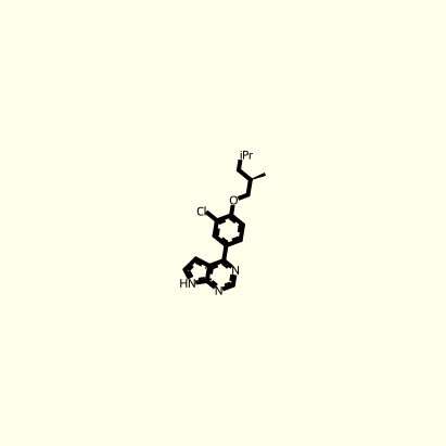 CC(C)C[C@@H](C)COc1ccc(-c2ncnc3[nH]ccc23)cc1Cl